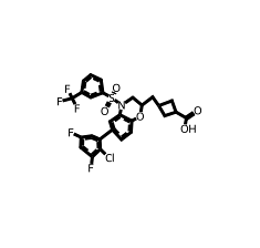 O=C(O)C1CC(CC2CN(S(=O)(=O)c3cccc(C(F)(F)F)c3)c3cc(-c4cc(F)cc(F)c4Cl)ccc3O2)C1